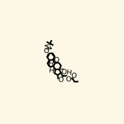 CCC(=O)OCC(=O)[C@@]1(O)C(C)C[C@H]2[C@@H]3CC=C4C=C(O[Si](C)(C)C(C)(C)C)C=C[C@]4(C)[C@]34OC4C[C@@]21C